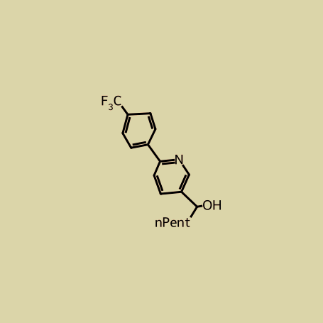 CCCCCC(O)c1ccc(-c2ccc(C(F)(F)F)cc2)nc1